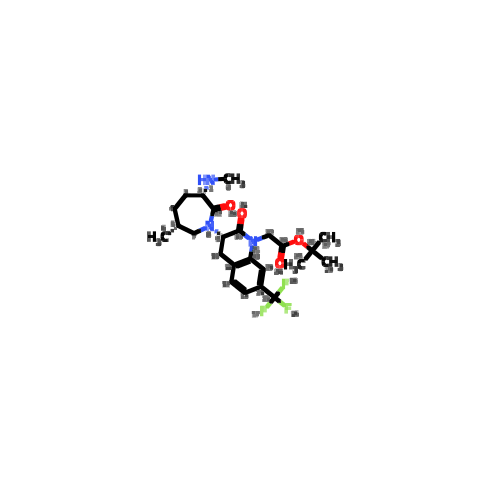 CN[C@H]1CC[C@@H](C)CN([C@H]2Cc3ccc(C(F)(F)F)cc3N(CC(=O)OC(C)(C)C)C2=O)C1=O